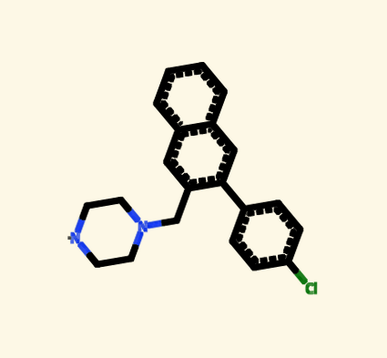 Clc1ccc(-c2cc3ccccc3cc2CN2CC[N]CC2)cc1